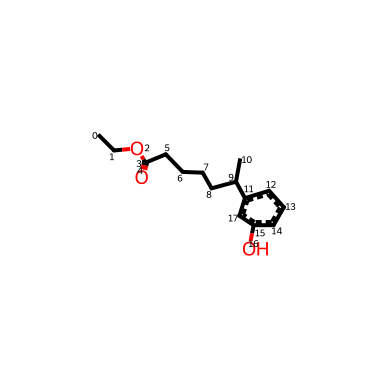 CCOC(=O)CCCCC(C)c1cccc(O)c1